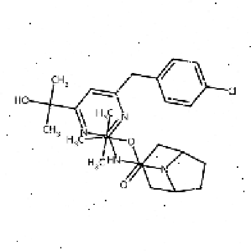 CC(C)(C)OC(=O)N1C2CCC1CC(Nc1nc(Cc3ccc(Cl)cc3)cc(C(C)(C)O)n1)C2